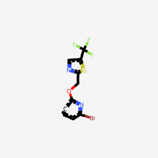 FC(F)(F)c1cnc(COc2cccc(Br)n2)s1